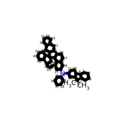 CC1(C)c2ccccc2-c2ccc(N(c3ccccc3)c3ccc4c5c(ccc4c3)-c3cc4ccccc4cc3C53c4ccccc4-c4ccccc43)cc21